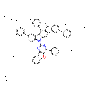 c1ccc(-c2ccc3c(c2)-c2cc4c(c5c2C3Cc2ccccc2-5)c2cc(-c3ccccc3)ccc2n4-c2nc(-c3ccccc3)c3oc4ccccc4c3n2)cc1